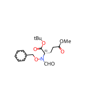 COC(=O)CC[C@@H](C(=O)OC(C)(C)C)N(C=O)OCc1ccccc1